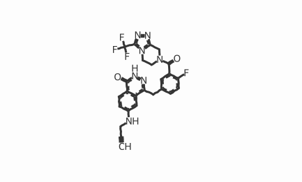 C#CCNc1ccc2c(=O)[nH]nc(Cc3ccc(F)c(C(=O)N4CCn5c(nnc5C(F)(F)F)C4)c3)c2c1